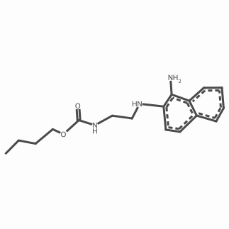 CCCCOC(=O)NCCNc1ccc2ccccc2c1N